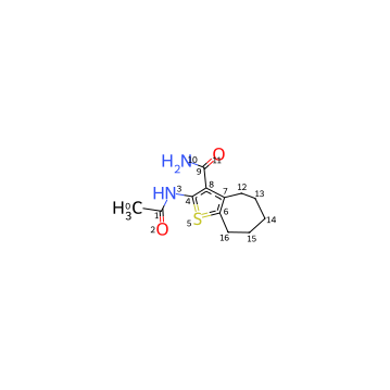 CC(=O)Nc1sc2c(c1C(N)=O)CCCCC2